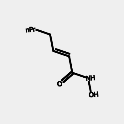 CCCCC=CC(=O)NO